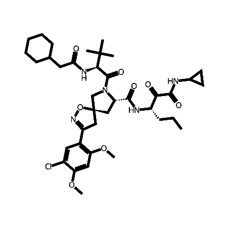 CCC[C@H](NC(=O)[C@@H]1C[C@]2(CC(c3cc(Cl)c(OC)cc3OC)=NO2)CN1C(=O)[C@@H](NC(=O)CC1CCCCC1)C(C)(C)C)C(=O)C(=O)NC1CC1